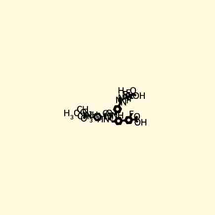 CC(C)(C)OC(=O)NC[C@H]1CC[C@H](C(=O)N[C@@H](Cc2ccc(-c3ccc(C(=O)O)c(F)c3)cc2)C(=O)Nc2ccc(-c3n[nH]c(C(F)(F)C(F)(F)C(=O)O)n3)cc2)CC1